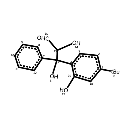 CC(C)(C)c1ccc(C(O)(c2ccccc2)C(O)C=O)c(O)c1